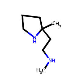 CNCCC1(C)CCCN1